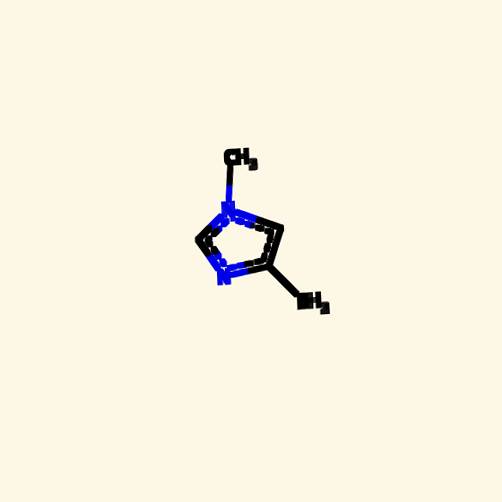 Bc1cn(C)cn1